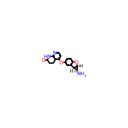 N[C@H]1[C@@H]2Oc3ccc(Oc4ccnc5c4CCC(=O)N5)cc3[C@H]12